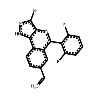 C=Cc1ccc2c(c1)c(-c1c(F)cccc1F)nc1c(Br)n[nH]c12